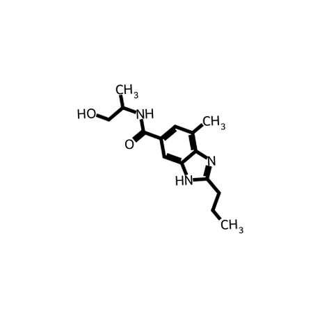 CCCc1nc2c(C)cc(C(=O)NC(C)CO)cc2[nH]1